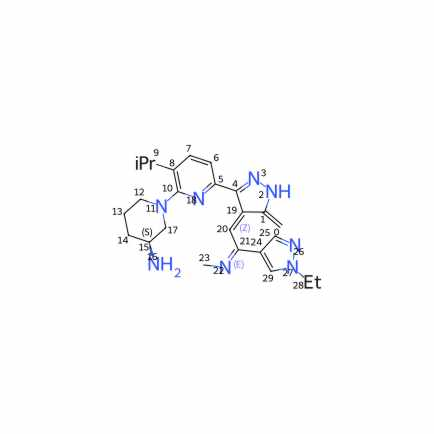 C=c1[nH]nc(-c2ccc(C(C)C)c(N3CCC[C@H](N)C3)n2)/c1=C/C(=N\C)c1cnn(CC)c1